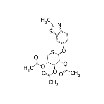 CC(=O)O[C@@H]1[C@@H](OC(C)=O)[C@H](OC(C)=O)CS[C@H]1Oc1ccc2nc(C)sc2c1